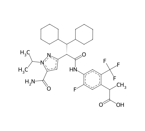 CC(C(=O)O)c1cc(F)c(NC(=O)[C@H](c2cc(C(N)=O)n(C(C)C)n2)C(C2CCCCC2)C2CCCCC2)cc1C(F)(F)F